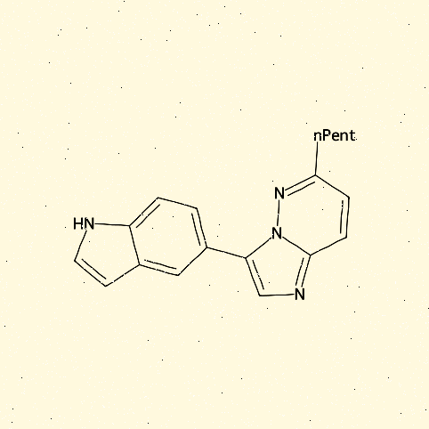 CCCCCc1ccc2ncc(-c3ccc4[nH]ccc4c3)n2n1